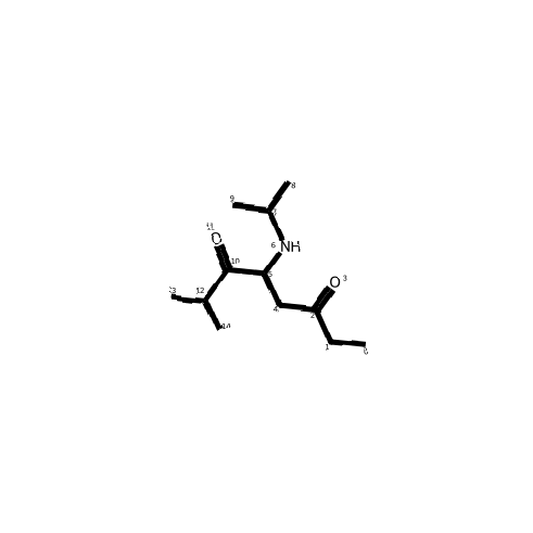 CCC(=O)CC(NC(C)C)C(=O)C(C)C